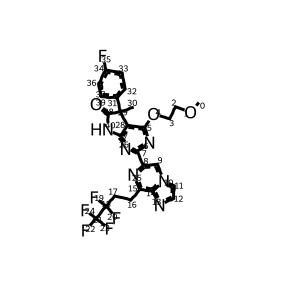 COCCOc1nc(-c2cn3ccnc3c(CCC(F)(F)C(F)(F)F)n2)nc2c1C(C)(c1ccc(F)cc1)C(=O)N2